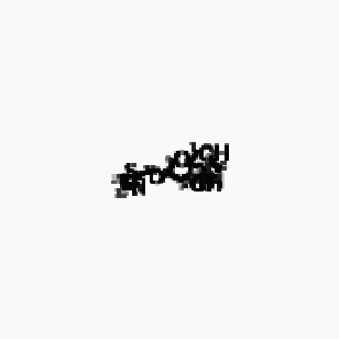 OCC1(n2ccnn2)OCC(OCc2nccs2)CC1O